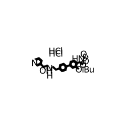 CC(C)COc1cc(-c2ccc(CCNC[C@H](O)c3cccnc3)cc2)ccc1C(=O)NS(C)(=O)=O.Cl.Cl